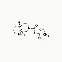 CC(C)(C)OC(=O)N1CC[C@H]2OCCN[C@H]2C1